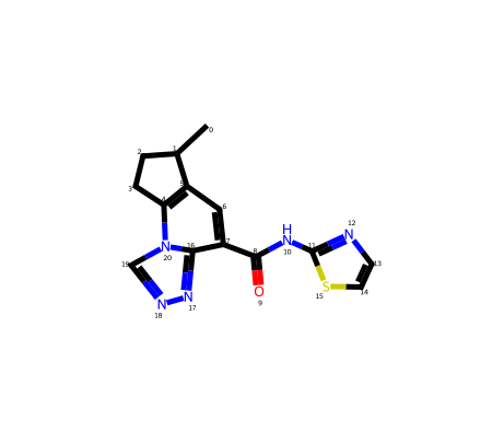 CC1CCc2c1cc(C(=O)Nc1nccs1)c1nncn21